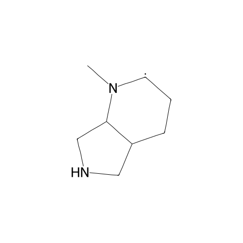 CN1[CH]CCC2CNCC21